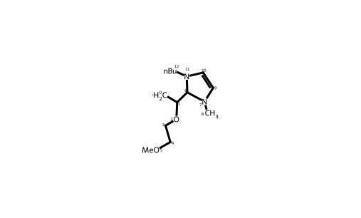 [CH2]C(OCCOC)C1N(C)C=CN1CCCC